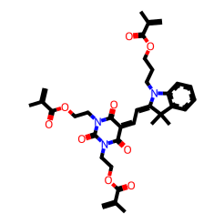 C=C(C)C(=O)OCCCN1/C(=C/C=C2C(=O)N(CCOC(=O)C(=C)C)C(=O)N(CCOC(=O)C(=C)C)C2=O)C(C)(C)c2ccccc21